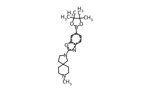 CN1CCC2(CC1)CCN(c1nc3ccc(B4OC(C)(C)C(C)(C)O4)cc3o1)C2